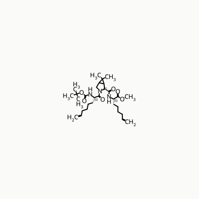 C=CCCCC[C@H](NC(=O)[C@@H]1C2C(CN1C(=O)[C@H](CCCCC=C)NC(=O)OC(C)(C)C)C2(C)C)C(=O)OC